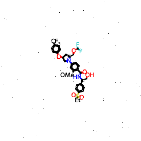 CCS(=O)(=O)c1ccc([C@H](CO)NC(=O)c2ccc(N3CC(Oc4ccc(C(F)(F)F)cc4)C[C@H]3COC(F)F)cc2OC)cc1